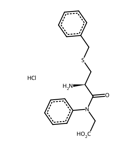 Cl.N[C@@H](CSCc1ccccc1)C(=O)N(CC(=O)O)c1ccccc1